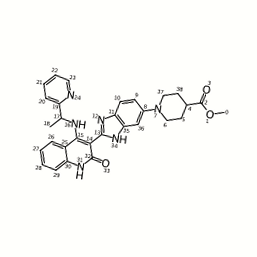 COC(=O)C1CCN(c2ccc3nc(-c4c(NC(C)c5ccccn5)c5ccccc5[nH]c4=O)[nH]c3c2)CC1